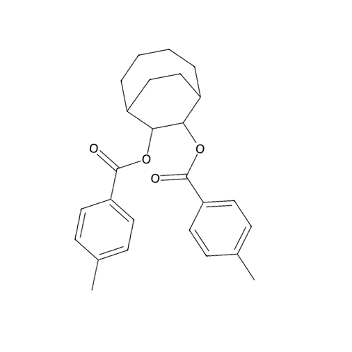 Cc1ccc(C(=O)OC2C3CCCCC(CC3)C2OC(=O)c2ccc(C)cc2)cc1